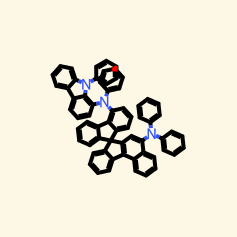 c1ccc(N(c2ccccc2)c2cc3c(c4ccccc24)-c2ccccc2C32c3ccccc3-c3c(N(c4ccccc4)c4cccc5c6ccccc6n(-c6ccccc6)c45)cccc32)cc1